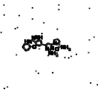 NC(=O)[C@H]1CCCN1c1cc(-c2cc3c4c(n[nH]c4c2)Nc2ccccc2O3)nc(N)n1